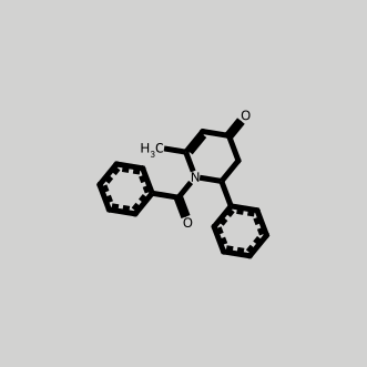 CC1=CC(=O)CC(c2ccccc2)N1C(=O)c1ccccc1